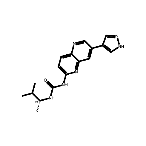 CC(C)[C@@H](C)NC(=O)Nc1ccc2ncc(-c3cn[nH]c3)cc2n1